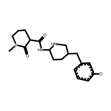 CN1CCCC(C(=O)NC2CCC(Cc3cccc(Cl)c3)CN2)C1=O